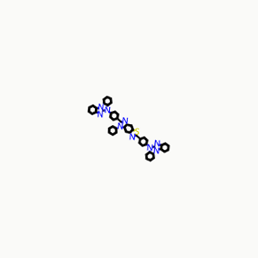 c1ccc(-n2c(-c3ccc(-n4c5ccccc5n5c6ccccc6nc45)cc3)nc3cc4sc(-c5ccc(-n6c7ccccc7n7c8ccccc8nc67)cc5)nc4cc32)cc1